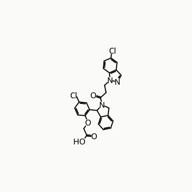 O=C(O)COc1ccc(Cl)cc1C1c2ccccc2CN1C(=O)CCn1ncc2cc(Cl)ccc21